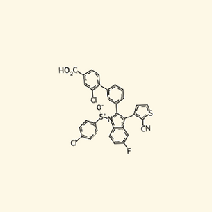 N#Cc1sccc1-c1c(-c2cccc(-c3ccc(C(=O)O)cc3Cl)c2)n([S+]([O-])c2ccc(Cl)cc2)c2ccc(F)cc12